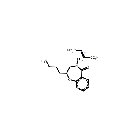 CN1CC(CCCN)Oc2ncccc2C1=S.O=C(O)/C=C/C(=O)O